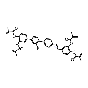 C=C(C)C(=O)Oc1ccc(/C=C/c2ccc(-c3ccc(-c4ccc(OC(=O)C(=C)C)c(OC(=O)C(=C)C)c4)cc3F)cc2)cc1OC(=O)C(=C)C